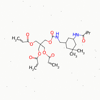 C=CC(=O)OCC(COC(=O)C=C)(COC(=O)C=C)COC(=O)NCC1CC(NC(=O)C(C)C)CC(C)(C)C1